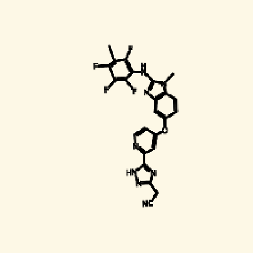 Cc1c(F)c(F)c(F)c(Nc2nc3cc(Oc4ccnc(-c5nc(CC#N)n[nH]5)c4)ccc3n2C)c1F